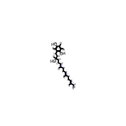 C/C(=C\CC/C(C)=C/CC/C(C)=C/CCC(C)(O)CCc1c(C)c(O)c(C)c(C)c1O)CF